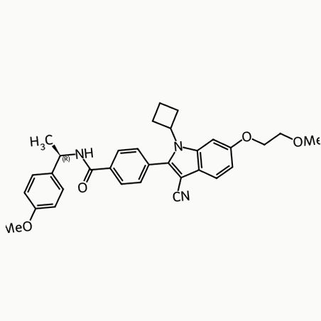 COCCOc1ccc2c(C#N)c(-c3ccc(C(=O)N[C@H](C)c4ccc(OC)cc4)cc3)n(C3CCC3)c2c1